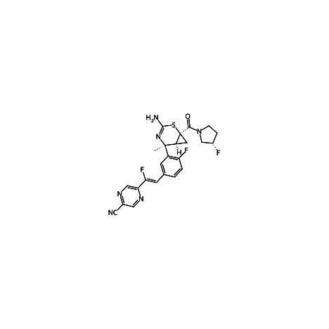 C[C@]1(c2cc(C=C(F)c3cnc(C#N)cn3)ccc2F)N=C(N)S[C@@]2(C(=O)N3CC[C@H](F)C3)C[C@H]21